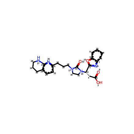 O=C(O)C[C@@H](c1nc2ccccc2o1)N1CCN(CCCc2ccc3c(n2)NCCC3)C1=O